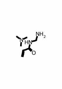 C=CC(=O)NCN.CN(C)C